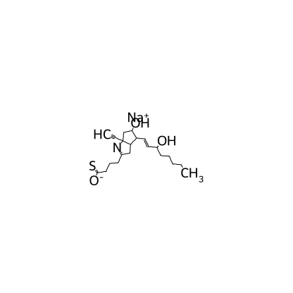 C#CC12CC(O)C(C=C[C@@H](O)CCCCC)C1CC(CCCC([O-])=S)=N2.[Na+]